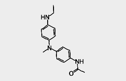 CCNc1ccc(N(C)c2ccc(NC(C)=O)cc2)cc1